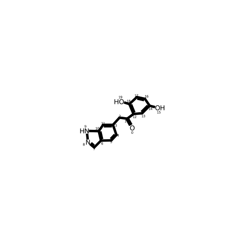 O=C(Cc1ccc2cn[nH]c2c1)c1cc(O)ccc1O